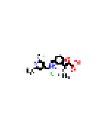 Cc1cc(Cn2cc3c(n2)-c2c(oc(C(=O)O)c2C)CC3)cc(C)n1.[Cl-].[H+]